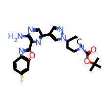 CC(C)(C)OC(=O)N1CCC(n2cc(-c3cnc(N)c(-c4nc5ccc(F)cc5o4)n3)cn2)CC1